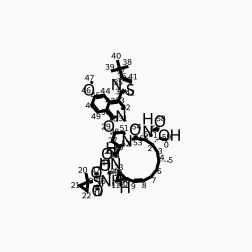 CC[C@@H]1C[C@H](C)CCC=C[C@@H]2C[C@@]2(C(=O)NS(=O)(=O)C2(C)CC2)NC(=O)[C@@H]2C[C@@H](Oc3ncc(-c4nc(C(C)(C)C)cs4)c4cc(OC)ccc34)CN2C(=O)[C@H]1NC(=O)O